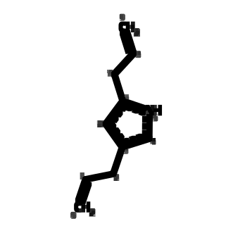 C=CCc1c[nH]c(CC=C)c1